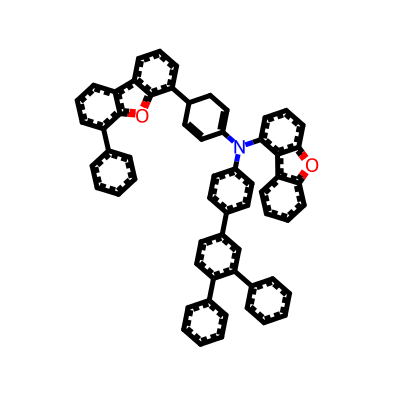 C1=CC(c2cccc3c2oc2c(-c4ccccc4)cccc23)CC=C1N(c1ccc(-c2ccc(-c3ccccc3)c(-c3ccccc3)c2)cc1)c1cccc2oc3ccccc3c12